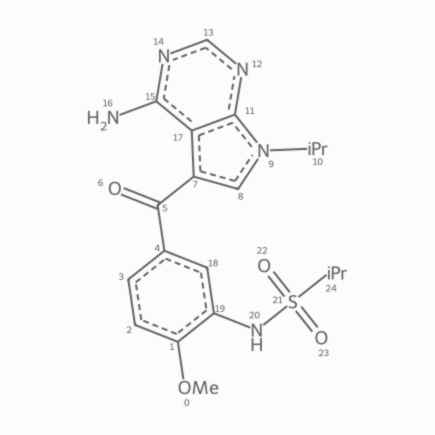 COc1ccc(C(=O)c2cn(C(C)C)c3ncnc(N)c23)cc1NS(=O)(=O)C(C)C